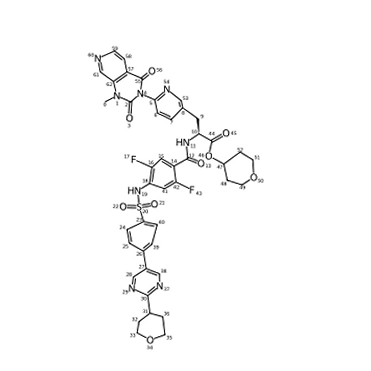 Cn1c(=O)n(-c2ccc(C[C@H](NC(=O)c3cc(F)c(NS(=O)(=O)c4ccc(-c5cnc(C6CCOCC6)nc5)cc4)cc3F)C(=O)OC3CCOCC3)cn2)c(=O)c2ccncc21